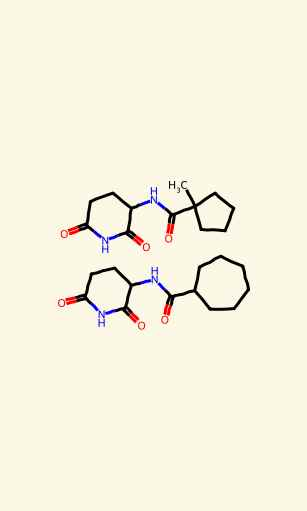 CC1(C(=O)NC2CCC(=O)NC2=O)CCCC1.O=C1CCC(NC(=O)C2CCCCCC2)C(=O)N1